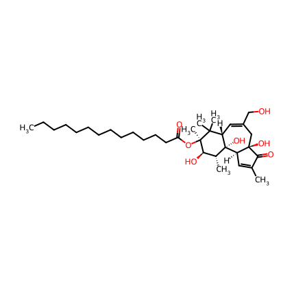 CCCCCCCCCCCCCC(=O)O[C@]1(C)[C@H](O)[C@@H](C)[C@@]2(O)[C@@H](C=C(CO)C[C@]3(O)C(=O)C(C)=C[C@@H]23)C1(C)C